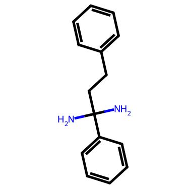 NC(N)(CCc1ccccc1)c1ccccc1